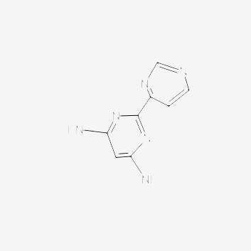 Nc1cc(N)nc(-c2ccncn2)n1